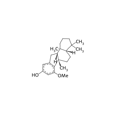 COc1cc(O)cc2c1[C@@]1(C)CC[C@H]3C(C)(C)CCC[C@]3(C)[C@H]1C2